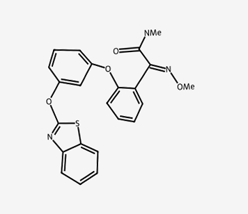 CNC(=O)/C(=N/OC)c1ccccc1Oc1cccc(Oc2nc3ccccc3s2)c1